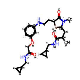 CCN1C(=O)C(CCNc2cccc(OCC(=O)NCC3CC3)c2)SC1CC(C#N)C(=O)NCC1CC1